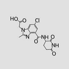 Cc1nc2c(C(=O)NC3CCC(=O)NC3=O)cc(Cl)cc2n1CC(=O)O